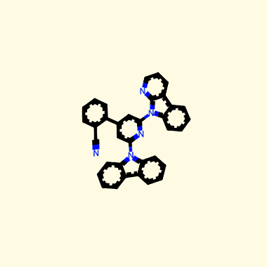 N#Cc1ccccc1-c1cc(-n2c3ccccc3c3ccccc32)nc(-n2c3ccccc3c3cccnc32)c1